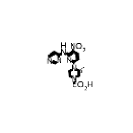 C[C@@H]1CN(C(=O)O)CCN1c1ccc([N+](=O)[O-])c(Nc2ccncn2)n1